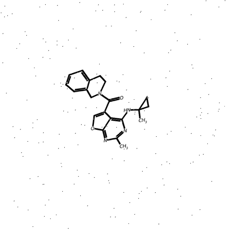 Cc1nc(NC2(C)CC2)c2c(C(=O)N3CCc4ccccc4C3)coc2n1